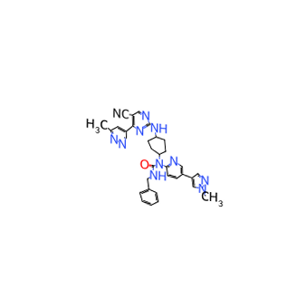 Cc1cc(-c2nc(NC3CCC(N(C(=O)NCc4ccccc4)c4ccc(-c5cnn(C)c5)cn4)CC3)ncc2C#N)cnn1